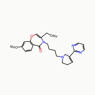 COCC1=COc2cc(OC)ccc2C(=O)N1CCCCN1CCC=C(c2ncccn2)C1